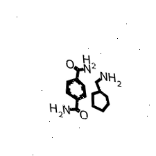 NC(=O)c1ccc(C(N)=O)cc1.NCC1CCCCC1